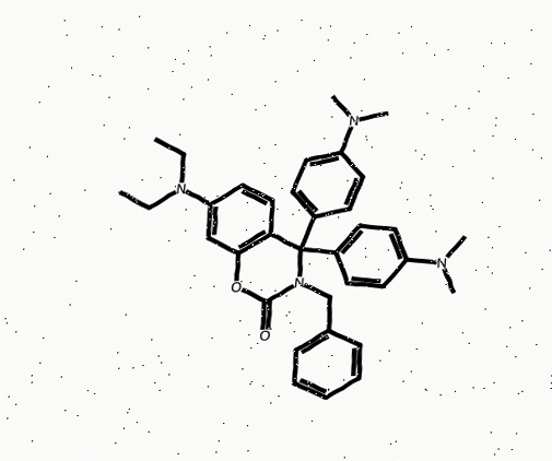 CCN(CC)c1ccc2c(c1)OC(=O)N(Cc1ccccc1)C2(c1ccc(N(C)C)cc1)c1ccc(N(C)C)cc1